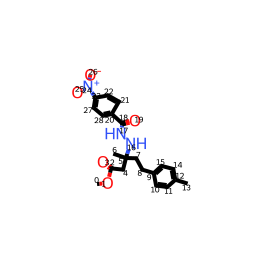 COC(=O)CC(C)(CCc1ccc(C)cc1)NNC(=O)c1ccc([N+](=O)[O-])cc1